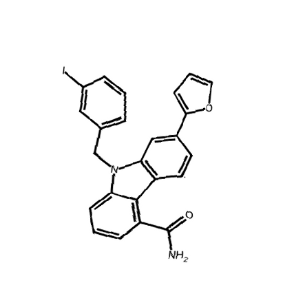 NC(=O)c1cccc2c1c1[c]cc(-c3ccco3)cc1n2Cc1cccc(I)c1